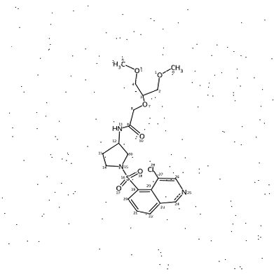 COCC(COC)OCC(=O)NC1CCN(S(=O)(=O)c2cccc3cncc(Cl)c23)C1